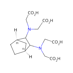 O=C(O)CN(CC(=O)O)C1C(N(CC(=O)O)CC(=O)O)[C@H]2CC[C@@H]1C2